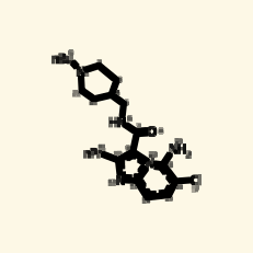 CCCCN1CCC(CNC(=O)c2c(CCC)nc3ccc(Cl)c(N)n23)CC1